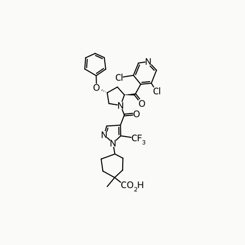 CC1(C(=O)O)CCC(n2ncc(C(=O)N3C[C@H](Oc4ccccc4)C[C@H]3C(=O)c3c(Cl)cncc3Cl)c2C(F)(F)F)CC1